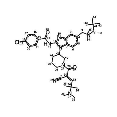 C[C@H](NCc1ccc2c(c1)nc(NC(=O)c1ccc(Cl)cc1)n2C1CCCN(C(=O)C(C#N)=CC(C)(C)N(C)C)C1)C(C)(C)C